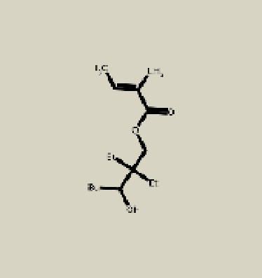 CC=C(C)C(=O)OCC(CC)(CC)C(O)C(C)CC